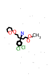 CCOC(=O)CCC(C#N)(CCCOC1CCCCO1)c1ccc(Cl)c(Cl)c1